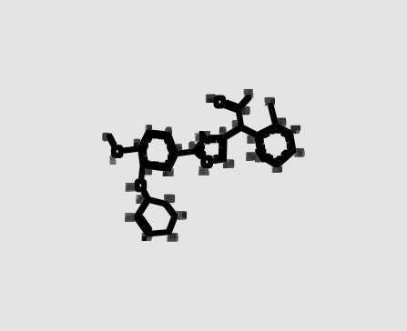 COc1ccc(-c2nc(C(C(C)=O)c3ncccc3C)co2)cc1OC1C=CCCC1